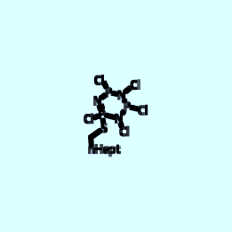 CCCCCCCCSP1(Cl)=NP(Cl)N(Cl)P(Cl)N1Cl